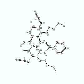 CCCCOC1[C@H](N=[N+]=[N-])C(C)O[C@H](O[C@@H]2C(OCCCC)[C@H](N=[N+]=[N-])C(C)O[C@@H]2SCC)[C@@H]1OC(=O)c1ccccc1